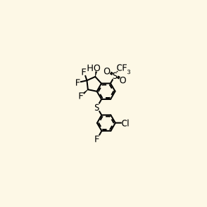 O=S(=O)(c1ccc(Sc2cc(F)cc(Cl)c2)c2c1[C@H](O)C(F)(F)[C@@H]2F)C(F)(F)F